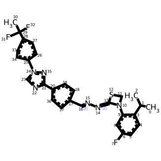 CC(C)c1ccc(F)cc1N1CS/C1=N\N=C\c1ccc(-c2ncn(-c3ccc(C(C)(F)F)cc3)n2)cc1